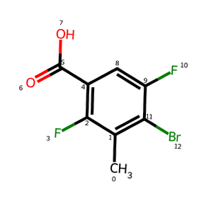 Cc1c(F)c(C(=O)O)cc(F)c1Br